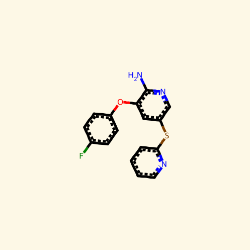 Nc1ncc(Sc2ccccn2)cc1Oc1ccc(F)cc1